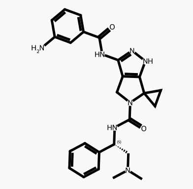 CN(C)C[C@@H](NC(=O)N1Cc2c(NC(=O)c3cccc(N)c3)n[nH]c2C12CC2)c1ccccc1